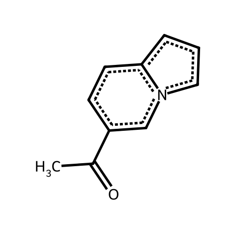 CC(=O)c1ccc2cccn2c1